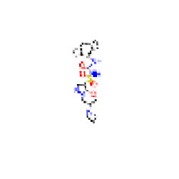 O=C(Nc1c2c(cc3c1CC3)CC2)NS(=O)(=O)c1cnn2c1OCC(N1CCC1)C2